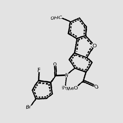 COC(=O)c1cc2oc3ccc(C=O)cc3c2cc1N(C(=O)c1ccc(Br)cc1F)C(C)C